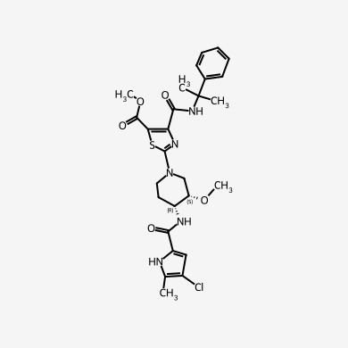 COC(=O)c1sc(N2CC[C@@H](NC(=O)c3cc(Cl)c(C)[nH]3)[C@@H](OC)C2)nc1C(=O)NC(C)(C)c1ccccc1